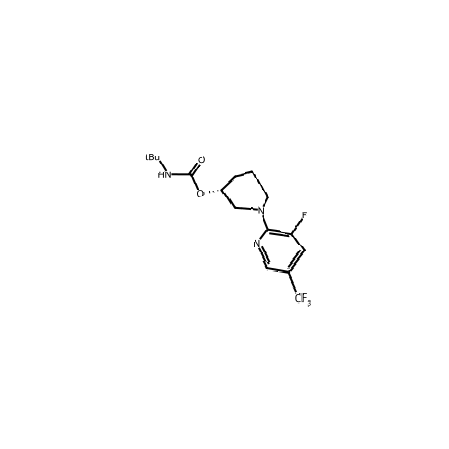 CC(C)(C)NC(=O)O[C@@H]1CCCN(c2ncc(C(F)(F)F)cc2F)C1